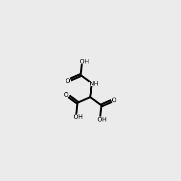 O=C(O)NC(C(=O)O)C(=O)O